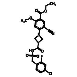 CCOC(=O)c1cc(C#N)c(N2CC(C(=O)NS(=O)(=O)Cc3ccc(Cl)cc3F)C2)nc1OC